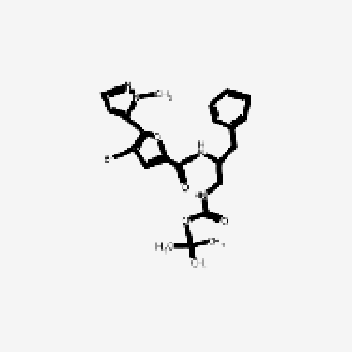 Cn1nccc1-c1oc(C(=O)NC(CNC(=O)OC(C)(C)C)Cc2ccccc2)cc1Br